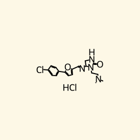 CN(C)CCN1C(=O)NCC1N=Cc1ccc(-c2ccc(Cl)cc2)o1.Cl